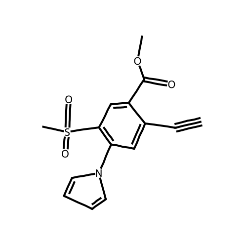 C#Cc1cc(-n2cccc2)c(S(C)(=O)=O)cc1C(=O)OC